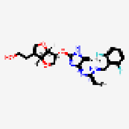 C=C1NC(O[C@@H]2CO[C@@H]3C(CCO)CO[C@@H]32)=N/C1=N/C(=C/CC)NCc1c(F)cccc1F